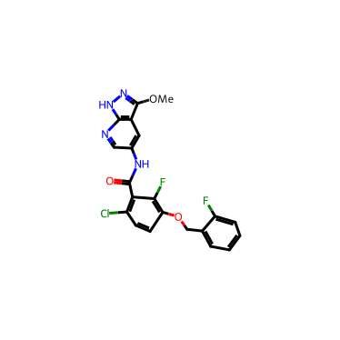 COc1n[nH]c2ncc(NC(=O)c3c(Cl)ccc(OCc4ccccc4F)c3F)cc12